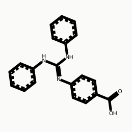 O=C(O)c1ccc(N=C(Nc2ccccc2)Nc2ccccc2)cc1